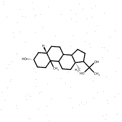 CC(O)(O)C1CCC2C3CC[C@H]4C[C@@H](O)CCC4(C)C3CC[C@@]21C